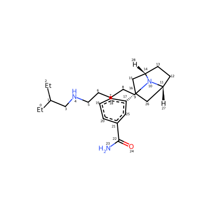 CCC(CC)CNCCCCCN1[C@@H]2CC[C@H]1C[C@@H](c1cccc(C(N)=O)c1)C2